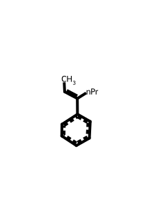 CC=C(CCC)c1ccccc1